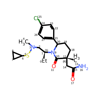 CC[C@@H](CN(C)SC1CC1)N1C(=O)[C@@](C)(CC(N)=O)CCC1c1ccc(Cl)cc1